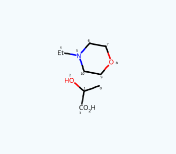 CC(O)C(=O)O.CCN1CCOCC1